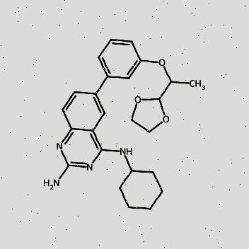 CC(Oc1cccc(-c2ccc3nc(N)nc(NC4CCCCC4)c3c2)c1)C1OCCO1